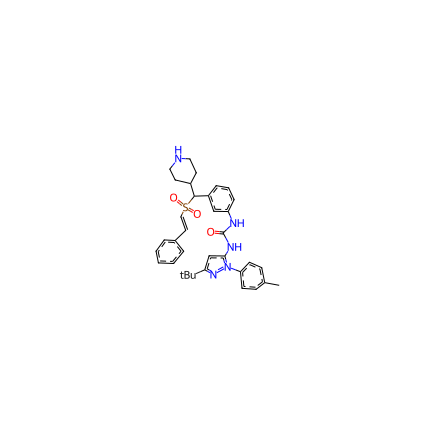 Cc1ccc(-n2nc(C(C)(C)C)cc2NC(=O)Nc2cccc(C(C3CCNCC3)S(=O)(=O)C=Cc3ccccc3)c2)cc1